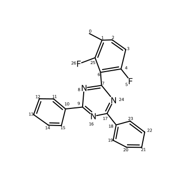 Cc1ccc(F)c(-c2nc(-c3ccccc3)nc(-c3ccccc3)n2)c1F